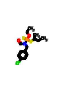 CCOP(=S)(SC(C)CC)N(C=O)Cc1ccc(Cl)cc1